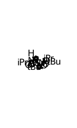 Cc1cccc(SSc2cccc(C)c2C(=O)N[C@@H](CC(C)C)C(=O)OC(C)(C)C)c1C(=O)N[C@@H](CC(C)C)C(=O)OC(C)(C)C